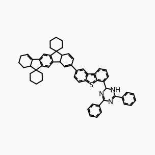 C1=CC2C(C=C1c1ccc3sc4c(C5N=C(c6ccccc6)N=C(c6ccccc6)N5)cccc4c3c1)c1cc3c(cc1C21CCCCC1)C1=CCCCC1C31CCCCC1